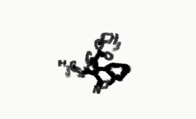 COC(=O)c1sc(SC)c(C#N)c1-c1ccccc1Cl